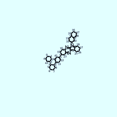 c1ccc(-c2ccccc2-c2ccc(-c3ccc4nc5c(nc4c3)c3ccccc3n5-c3ccc4ccccc4c3)cc2)cc1